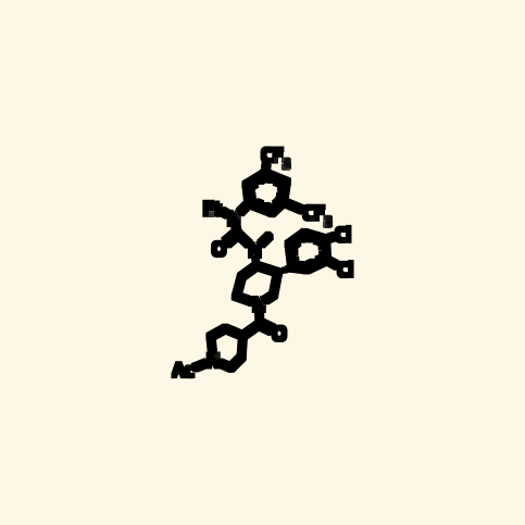 CCN(C(=O)N(C)[C@@H]1CCN(C(=O)C2CCN(C(C)=O)CC2)C[C@H]1c1ccc(Cl)c(Cl)c1)c1cc(C(F)(F)F)cc(C(F)(F)F)c1